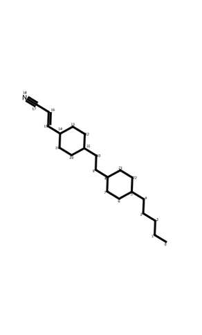 CCCCCC1CCC(CCC2CCC(C=CC#N)CC2)CC1